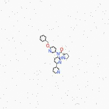 O=C([C@@H]1CCCN1)N(c1ccc(OCc2ccccc2)nc1)c1ccc(-c2cccnc2)nc1